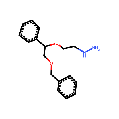 NNCCOC(COCc1ccccc1)c1ccccc1